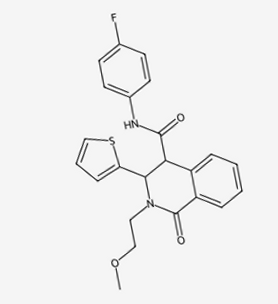 COCCN1C(=O)c2ccccc2C(C(=O)Nc2ccc(F)cc2)C1c1cccs1